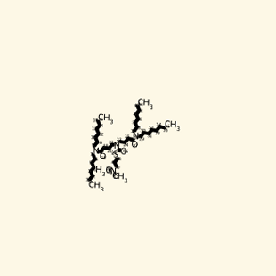 CCCCCCCCN(CCCCCCCC)C(=O)CCCN(CCCC(=O)N(CCCCCCCC)CCCCCCCC)C(=O)SCCCN(C)C